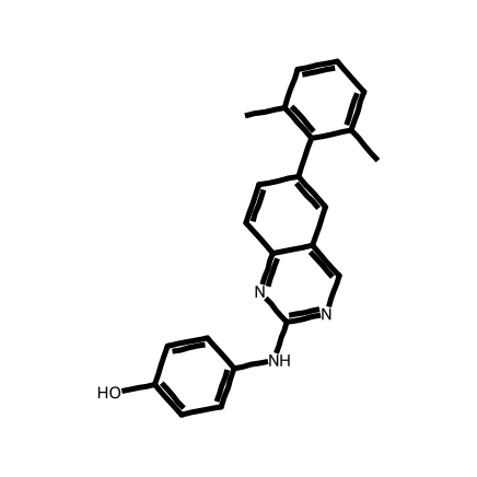 Cc1cccc(C)c1-c1ccc2nc(Nc3ccc(O)cc3)ncc2c1